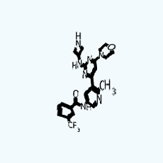 Cc1ncc(NC(=O)c2cccc(C(F)(F)F)c2)cc1-c1cc(N2CCOCC2)nc(NC2CNC2)n1